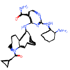 NC(=O)c1cnc(NC2CCCCC2N)nc1Nc1cccc2c1CCCN2C(=O)C1CC1